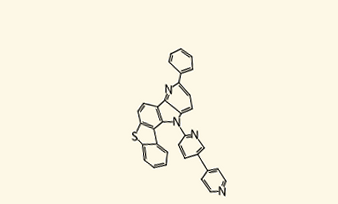 c1ccc(-c2ccc3c(n2)c2ccc4sc5ccccc5c4c2n3-c2ccc(-c3ccncc3)cn2)cc1